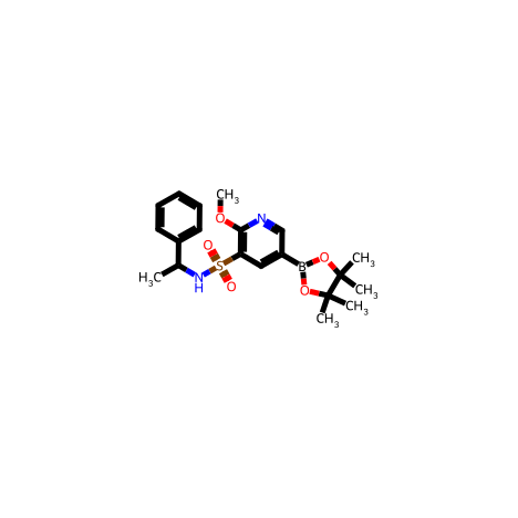 COc1ncc(B2OC(C)(C)C(C)(C)O2)cc1S(=O)(=O)NC(C)c1ccccc1